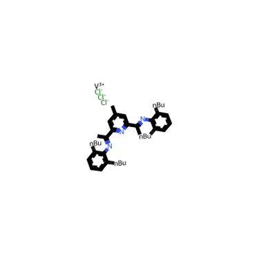 CCCCc1cccc(CCCC)c1N=C(C)c1cc(C)cc(C(C)=Nc2c(CCCC)cccc2CCCC)n1.[Cl-].[Cl-].[Cl-].[V+3]